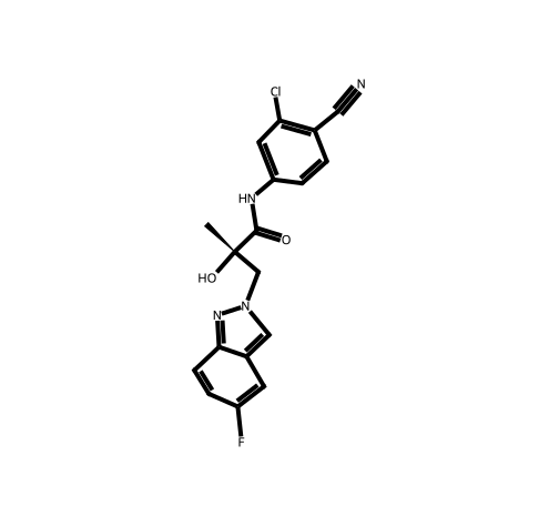 C[C@](O)(Cn1cc2cc(F)ccc2n1)C(=O)Nc1ccc(C#N)c(Cl)c1